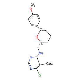 COc1c(Cl)ncnc1NC[C@H]1CCC[C@@H](c2ccc(OC(F)(F)F)cc2)O1